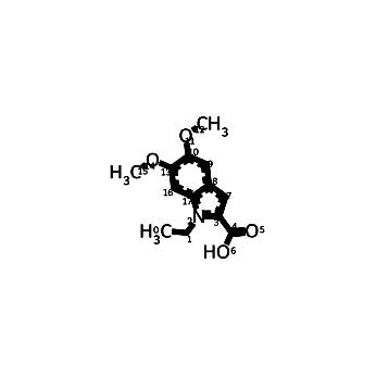 CCn1c(C(=O)O)cc2cc(OC)c(OC)cc21